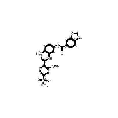 CNc1nc(S(C)(=O)=O)ncc1C(=O)Nc1cc(NC(=O)c2ccc3c(c2)OCO3)ccc1C